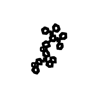 c1ccc(N(c2ccccc2)c2cc(-c3ccc4oc5cc(N(c6ccc7oc8ccccc8c7c6)c6cccc7ccccc67)ccc5c4c3)cc(N(c3ccccc3)c3ccccc3)c2)cc1